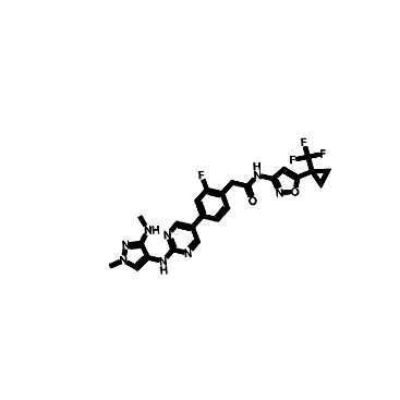 CNc1nn(C)cc1Nc1ncc(-c2ccc(CC(=O)Nc3cc(C4(C(F)(F)F)CC4)on3)c(F)c2)cn1